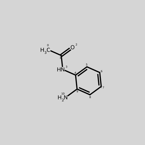 CC(=O)Nc1cc[c]cc1N